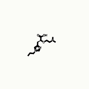 CCCn1cnc(C[C@H](OCCN(C)C)C(=O)O)c1